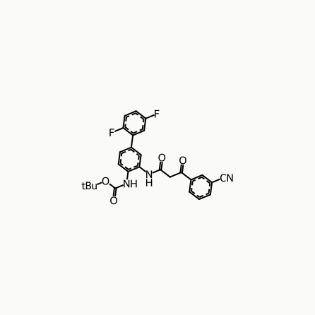 CC(C)(C)OC(=O)Nc1ccc(-c2cc(F)ccc2F)cc1NC(=O)CC(=O)c1cccc(C#N)c1